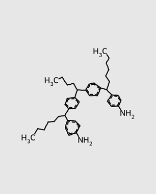 CCCCCCC(c1ccc(N)cc1)c1ccc(C(CCCC)c2ccc(C(CCCCCC)c3ccc(N)cc3)cc2)cc1